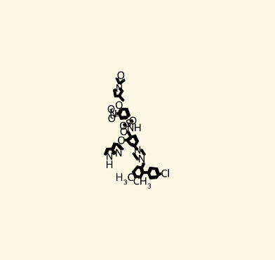 CC1(C)CCC(CN2CCN(c3ccc(C(=O)NS(=O)(=O)c4ccc(OCC5CCN(C6COC6)C5)c([N+](=O)[O-])c4)c(Oc4cnc5[nH]ccc5c4)c3)CC2)=C(c2ccc(Cl)cc2)C1